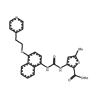 COC(=O)c1sc(C(C)(C)C)cc1NC(=O)Nc1ccc(OCCc2ccncc2)c2ccccc12